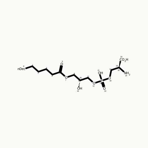 CCCCCCCCCCCCCCC(=O)OC[C@@H](O)COP(=O)(O)OC[C@H](N)C(=O)O